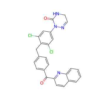 O=C(c1ccc(Cc2c(Cl)cc(N3N=CCNC3=O)cc2Cl)cc1)c1ccc2ccccc2n1